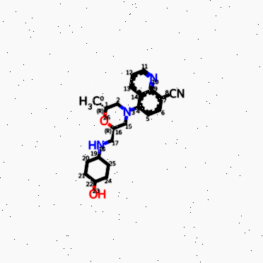 C[C@@H]1CN(c2ccc(C#N)c3ncccc23)C[C@@H](CNC2CCC(O)CC2)O1